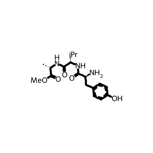 COC(=O)[C@H](C)NC(=O)[C@@H](NC(=O)[C@@H](N)Cc1ccc(O)cc1)C(C)C